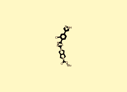 CC(C)(C)OC(=O)N1CC2CN(c3nnc(-c4ccc(-c5cn[nH]c5)cc4Cl)s3)CC2C1